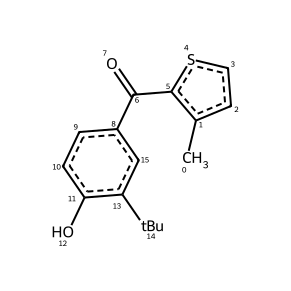 Cc1ccsc1C(=O)c1ccc(O)c(C(C)(C)C)c1